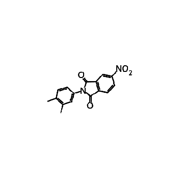 Cc1ccc(N2C(=O)c3ccc([N+](=O)[O-])cc3C2=O)cc1C